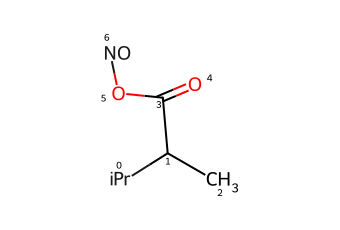 CC(C)C(C)C(=O)ON=O